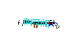 FC(F)(F)C(F)(F)C(F)(F)C(F)(F)C(F)(F)C(F)(F)C(F)(F)C(F)(F)C(F)(F)C(F)(F)C(F)(F)C(F)(F)C(F)(F)C(F)(F)C(F)(F)C(F)(F)[N+](C(F)(F)F)(C(F)(F)F)C(F)(F)F.[Br-]